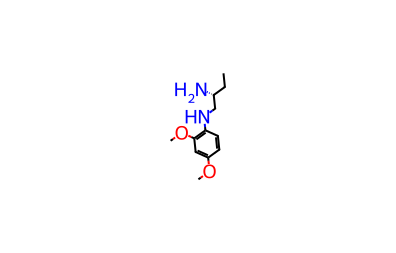 CC[C@@H](N)CNc1ccc(OC)cc1OC